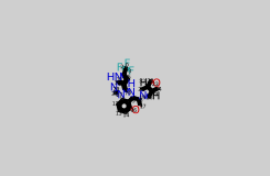 FC(F)(F)c1cc2c(NC3c4ccccc4OCC3N3C[C@H]4COC[C@@H]4C3)ncnc2[nH]1